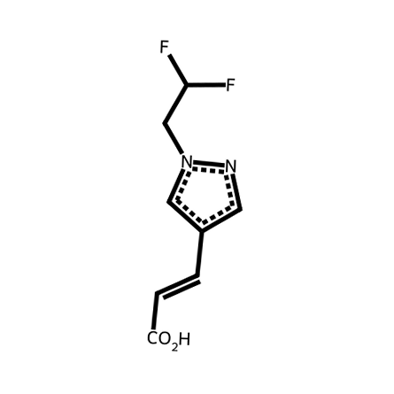 O=C(O)/C=C/c1cnn(CC(F)F)c1